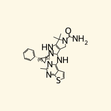 Cc1nc(NC2C3=C(NN2[C@H]2C[C@@H]2c2ccccc2)C(C)(C)N(C(N)=O)C3)c2ccsc2n1